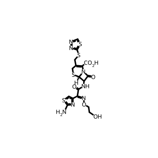 Nc1nc(C(=NOCCO)C(=O)NC2C(=O)N3C(C(=O)O)=C(CSc4nncs4)CS[C@@H]23)cs1